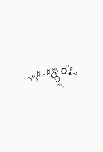 C/C=C(\C)OC(=O)NCCCNc1nc2cc(N)ccc2n2c(-c3ccc(C(=O)NC4CC4)c(Cl)c3)cnc12